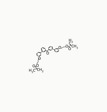 C=C(C)C(=O)OCCCOc1cccc(-c2cccc(C(=O)c3cccc(-c4cccc(OCCCOC(=O)C(=C)C)c4)c3)c2)c1